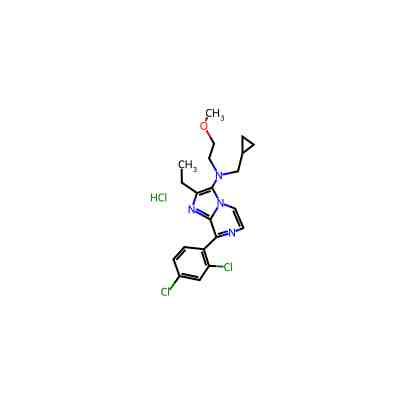 CCc1nc2c(-c3ccc(Cl)cc3Cl)nccn2c1N(CCOC)CC1CC1.Cl